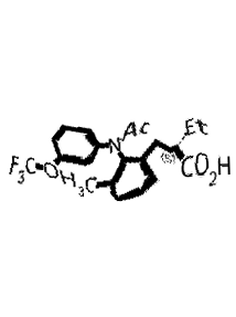 CC[C@@H](Cc1cccc(C)c1N(C(C)=O)c1cccc(OC(F)(F)F)c1)C(=O)O